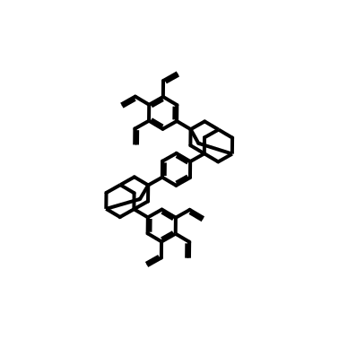 C=Cc1cc(C23CC4CC(CC(c5ccc(C67CC8CC(C6)CC(c6cc(C=C)c(C=C)c(C=C)c6)(C8)C7)cc5)(C4)C2)C3)cc(C=C)c1C=C